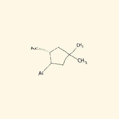 CC(=O)C1CC(C)(C)C[C@H]1C(C)=O